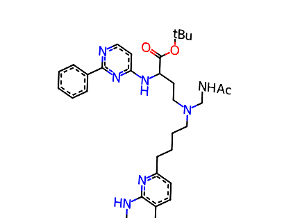 CC(=O)NCN(CCCCc1ccc2c(n1)NCCC2)CCC(Nc1ccnc(-c2ccccc2)n1)C(=O)OC(C)(C)C